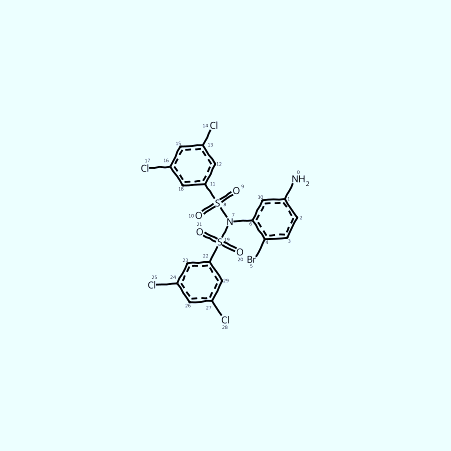 Nc1ccc(Br)c(N(S(=O)(=O)c2cc(Cl)cc(Cl)c2)S(=O)(=O)c2cc(Cl)cc(Cl)c2)c1